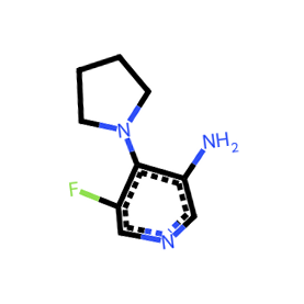 Nc1cncc(F)c1N1CCCC1